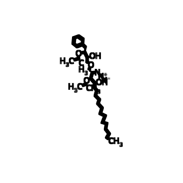 CCCCCCCCCCCCCC[C@@H](O)[C@@H](OC(C)C)[C@H](COC[C@H](O)[C@H](Cc1ccccc1)OC(C)C)N=[N+]=[N-]